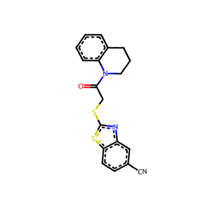 N#Cc1ccc2sc(SCC(=O)N3CCCc4ccccc43)nc2c1